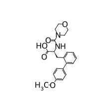 COc1ccc(-c2ccccc2C[C@H](NC(=O)N2CCOCC2)C(=O)O)cc1